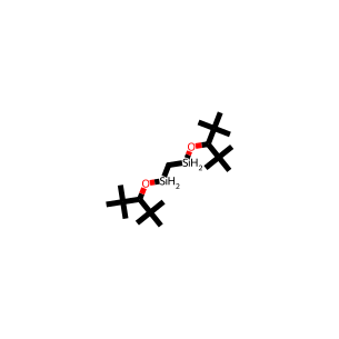 CC(C)(C)C(O[SiH2]C[SiH2]OC(C(C)(C)C)C(C)(C)C)C(C)(C)C